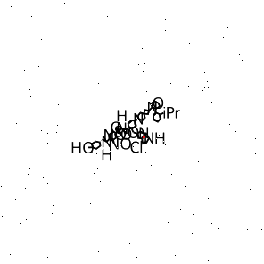 CC(C)c1ccccc1[C@H]1COCCN1C1CC2(CCN(c3ccc(C(=O)NS(=O)(=O)c4cnc(NC[C@H]5CC[C@](C)(O)CC5)c(N=O)c4)c(Oc4cnc5[nH]cc(Cl)c5c4)c3)CC2)C1